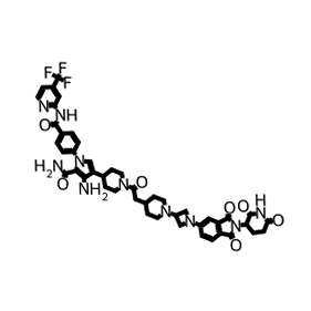 NC(=O)c1c(N)c(C2CCN(C(=O)CC3CCN(C4CN(c5ccc6c(c5)C(=O)N(C5CCC(=O)NC5=O)C6=O)C4)CC3)CC2)cn1-c1ccc(C(=O)Nc2cc(C(F)(F)F)ccn2)cc1